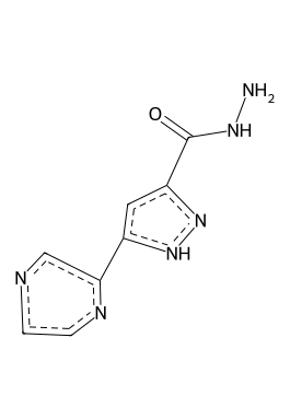 NNC(=O)c1cc(-c2cnccn2)[nH]n1